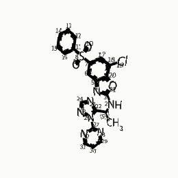 C[C@H](Nc1nc2cc(S(=O)(=O)c3ccccc3)cc(Cl)c2o1)c1ncnn1-c1ncccn1